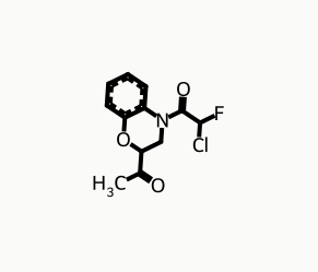 CC(=O)C1CN(C(=O)C(F)Cl)c2ccccc2O1